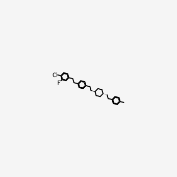 Cc1ccc(CC[C@H]2CC[C@H](CCc3ccc(CCc4ccc(Cl)c(F)c4)cc3)CC2)cc1